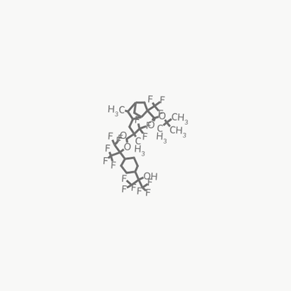 CC1C2CC(C1CC(C)(C(=O)OC(C1CCC(C(O)(C(F)(F)F)C(F)(F)F)CC1)(C(F)(F)F)C(F)(F)F)C(F)(F)F)C(C(=O)OC(C)(C)C)(C(F)(F)F)C2